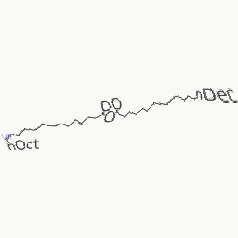 CCCCCCCC/C=C\CCCCCCCCCCCC(=O)OC(=O)CCCCCCCCCCCCCCCCCCCCC